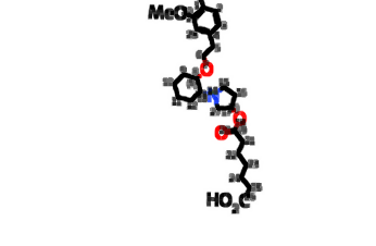 COc1ccc(CCO[C@@H]2CCCC[C@H]2N2CC[C@@H](OC(=O)CCCCCC(=O)O)C2)cc1OC